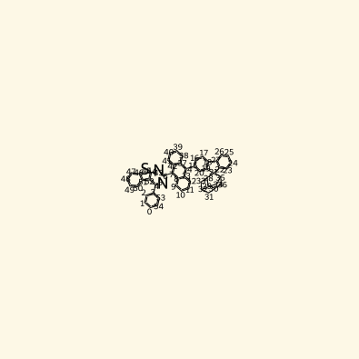 c1ccc(-c2nc(-c3c4ccccc4c(-c4ccc5c(c4)C4(c6ccccc6-5)C5CC6CC(C5)CC4C6)c4ccccc34)nc3sc4ccccc4c23)cc1